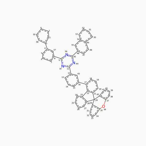 c1ccc(-c2cccc(-c3nc(-c4cccc(-c5cccc6c5-c5ccccc5C65c6ccccc6Oc6ccccc65)c4)nc(-c4ccc5ccccc5c4)n3)c2)cc1